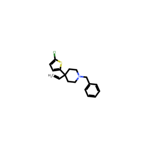 C=CC1(c2ccc(Cl)s2)CCN(Cc2ccccc2)CC1